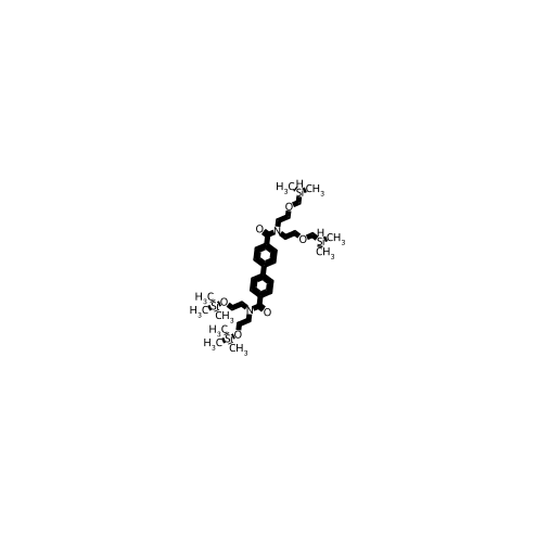 C[SiH](C)COCCN(CCOC[SiH](C)C)C(=O)c1ccc(-c2ccc(C(=O)N(CCO[Si](C)(C)C)CCO[Si](C)(C)C)cc2)cc1